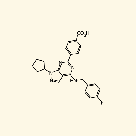 O=C(O)c1ccc(-c2nc(NCc3ccc(F)cc3)c3cnn(C4CCCC4)c3n2)cc1